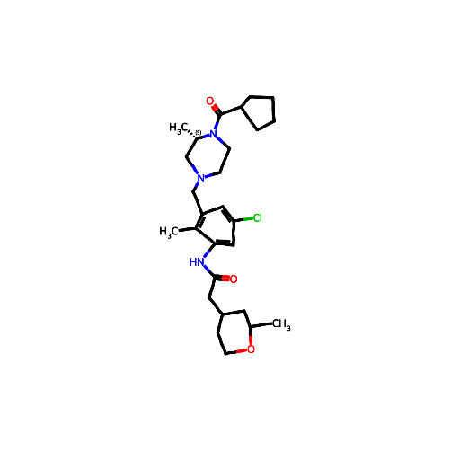 Cc1c(CN2CCN(C(=O)C3CCCC3)[C@@H](C)C2)cc(Cl)cc1NC(=O)CC1CCOC(C)C1